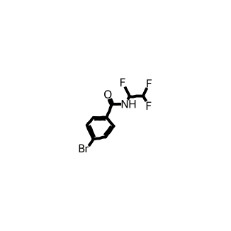 O=C(NC(F)C(F)F)c1ccc(Br)cc1